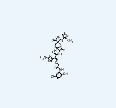 Cn1nnnc1SCC1(C(=O)O)CS[C@@H]2C(NC(=O)C(=NOCC(=O)Nc3cc(Cl)ccc3O)c3csc(N)n3)C(=O)N2C1